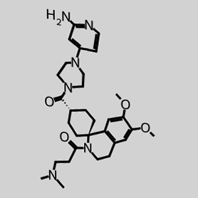 COc1cc2c(cc1OC)[C@]1(CC[C@@H](C(=O)N3CCN(c4ccnc(N)c4)CC3)CC1)N(C(=O)CCN(C)C)CC2